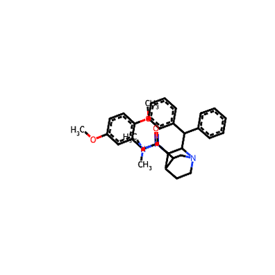 COc1ccc(OC)c(CNC2C3CCN(CC3C(=O)N(C)C)C2C(c2ccccc2)c2ccccc2)c1